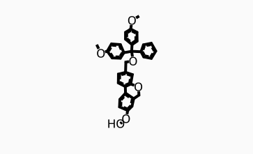 COc1ccc(C(OCc2ccc3c(c2)OCc2cc(OO)ccc2-3)(c2ccccc2)c2ccc(OC)cc2)cc1